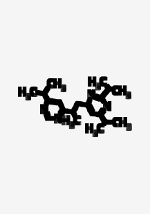 CC(C)c1cc(C(C)Cc2cc(C(C)C)nc(C(C)C)n2)ncn1